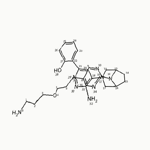 NCCCOCCCc1cnc(N2C3CCC2CN(c2cc(-c4ccccc4O)nnc2N)C3)nc1